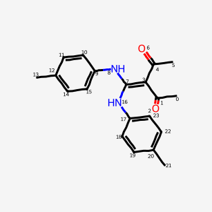 CC(=O)C(C(C)=O)=C(Nc1ccc(C)cc1)Nc1ccc(C)cc1